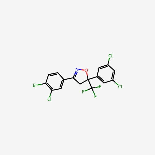 FC(F)(F)C1(c2cc(Cl)cc(Cl)c2)CC(c2ccc(Br)c(Cl)c2)=NO1